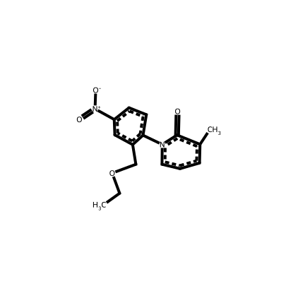 CCOCc1cc([N+](=O)[O-])ccc1-n1cccc(C)c1=O